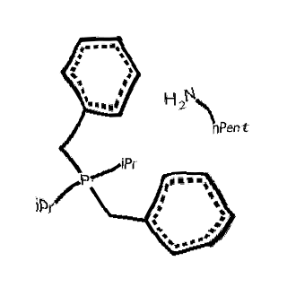 CC(C)[P](Cc1ccccc1)(Cc1ccccc1)C(C)C.CCCCCN